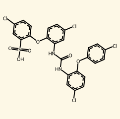 O=C(Nc1cc(Cl)ccc1Oc1ccc(Cl)cc1)Nc1cc(Cl)ccc1Oc1ccc(Cl)cc1S(=O)(=O)O